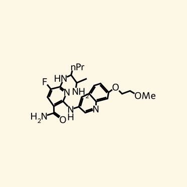 CCCC(Nc1nc(Nc2cnc3cc(OCCOC)ccc3c2)c(C(N)=O)cc1F)C(C)N